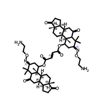 CC1(C)/C(=N/OCCN)CC(OC(=O)/C=C/C(=O)OC2C/C(=N\OCCN)C(C)(C)C3C(=O)C[C@@H]4[C@@H](CC[C@]5(C)C(=O)CC[C@@H]45)[C@@]23C)[C@@]2(C)C1C(=O)C[C@@H]1[C@H]2CC[C@]2(C)C(=O)CC[C@@H]12